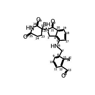 BC1(N2Cc3c(NCc4cccc(C=O)c4F)cccc3C2=O)CCC(=O)NC1=O